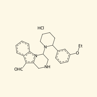 CCOc1cccc(C2CCCCN2C2CNCc3c(C=O)c4ccccc4n32)c1.Cl